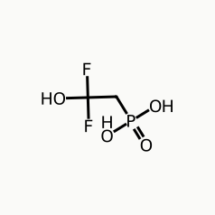 O=P(O)(O)CC(O)(F)F